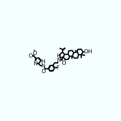 C=C(C)C1CCC2(C(=O)NCCc3cc(C(=O)NCc4ccc(C(=O)OC)cn4)ccc3F)CCC3C(CCC4C3(C)CCC3C(C)(C)C(O)CCC34C)C12